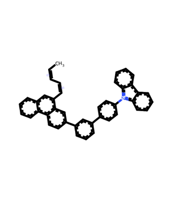 C/C=C\C=C/c1cc2ccccc2c2ccc(-c3cccc(-c4ccc(-n5c6ccccc6c6ccccc65)cc4)c3)cc12